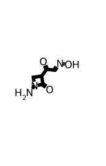 NN1CC(C(=O)C=NO)C1=O